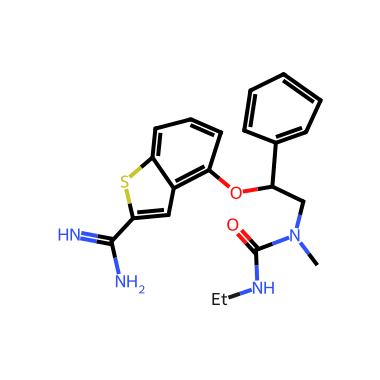 CCNC(=O)N(C)CC(Oc1cccc2sc(C(=N)N)cc12)c1ccccc1